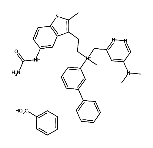 Cc1sc2ccc(NC(N)=O)cc2c1CC[N+](C)(Cc1cc(N(C)C)cnn1)c1cccc(-c2ccccc2)c1.O=C(O)c1ccccc1